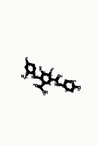 Cc1cc(I)ccc1Nc1c(C(=O)O)cc(C(=O)Nc2ccc(Cl)nc2)c(F)c1F